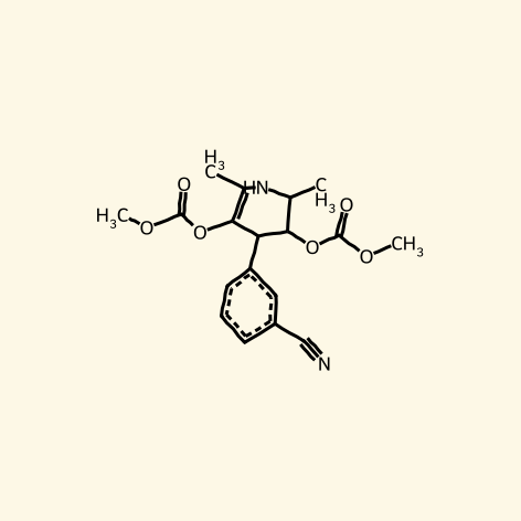 COC(=O)OC1=C(C)NC(C)C(OC(=O)OC)C1c1cccc(C#N)c1